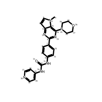 Cn1ccc2nc(-c3ccc(NC(=O)Nc4ccncc4)cc3)nc(N3CCOCC3)c21